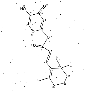 CC1=C(C=CC(=O)Oc2cc(=O)c(O)co2)C(C)(C)CCC1